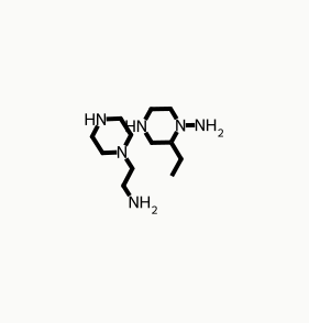 CCC1CNCCN1N.NCCN1CCNCC1